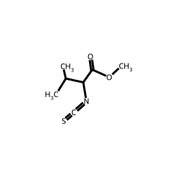 COC(=O)C(N=C=S)C(C)C